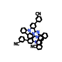 N#Cc1ccc(-c2ccccc2-c2nc(-c3cc(-c4cccc(C#N)c4)ccc3-n3c4ccccc4c4ccccc43)nc(-c3cc(-c4cccc(C#N)c4)ccc3-n3c4ccccc4c4ccccc43)n2)cc1